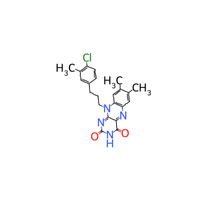 Cc1cc2nc3c(=O)[nH]c(=O)nc-3n(CCCc3ccc(Cl)c(C)c3)c2cc1C